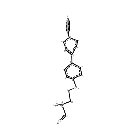 N#Cc1ccc(-c2ccc(OCCN(O)C=O)cc2)cc1